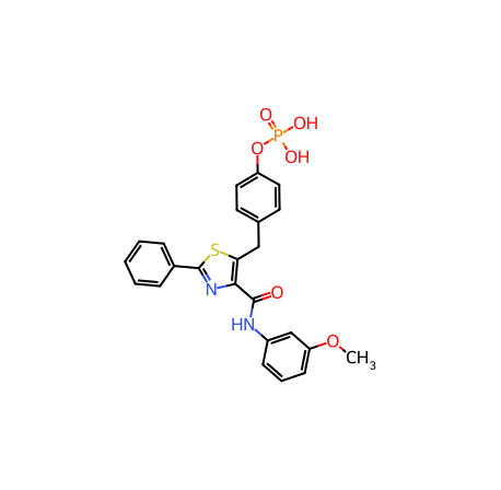 COc1cccc(NC(=O)c2nc(-c3ccccc3)sc2Cc2ccc(OP(=O)(O)O)cc2)c1